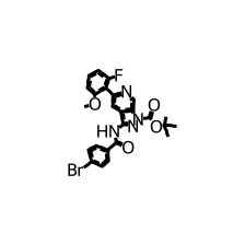 COc1cccc(F)c1-c1cc2c(NC(=O)c3ccc(Br)cc3)nn(C(=O)OC(C)(C)C)c2cn1